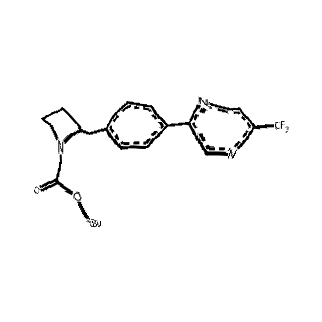 CC(C)(C)OC(=O)N1CCC1c1ccc(-c2cnc(C(F)(F)F)cn2)cc1